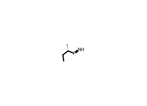 CC[C@H](C)P=N